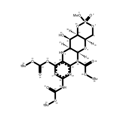 COP1(=O)OC[C@H]2O[C@@H]3[C@@H](Nc4c(OC(=O)OC(C)(C)C)nc(NC(=O)OC(C)(C)C)nc4N3C(=O)OC(C)(C)C)[C@@H](O)[C@H]2O1